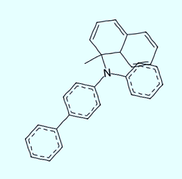 CC1(N(c2ccccc2)c2ccc(-c3ccccc3)cc2)C=CC=C2C=CC=CC21